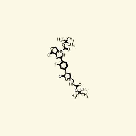 CC(C)(C)OC(=O)NC[C@@H]1CN(c2ccc(C(=NNC(=O)OC(C)(C)C)SC3CCOC3=O)c(F)c2)C(=O)O1